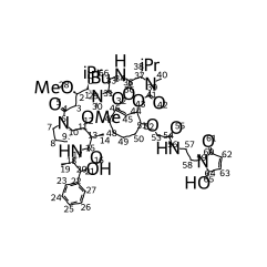 CC[C@H](C)[C@@H]([C@@H](CC(=O)N1CCC[C@H]1[C@H](OC)[C@@H](C)C(=O)N[C@H](C)[C@@H](O)c1ccccc1)OC)N(C)C(=O)[C@@H](NC(=O)[C@H](C(C)C)N(C)C(=O)OC1/C=C/CCCCC1OCC(=O)NCCN1C(=O)C=CC1O)C(C)C